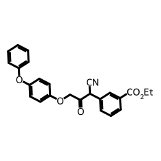 CCOC(=O)c1cccc(C(C#N)C(=O)COc2ccc(Oc3ccccc3)cc2)c1